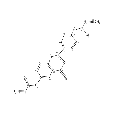 C=CC(=O)Oc1ccc2oc(-c3ccc(OC(O)C=C)cc3)cc(=O)c2c1